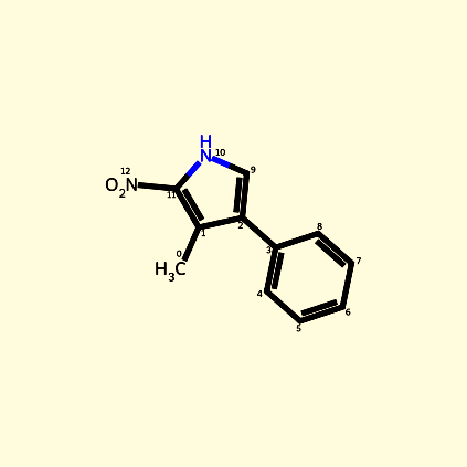 Cc1c(-c2ccccc2)c[nH]c1[N+](=O)[O-]